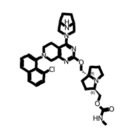 CNC(=O)OC[C@H]1CC[C@@]2(COc3nc4c(c(N5CC6CCC(C5)N6)n3)CCN(c3cccc5cccc(Cl)c35)C4)CCCN12